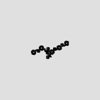 CC(=O)OCN(CCc1cccc(OCc2ccccc2)c1)C(=O)c1cccc(OCc2ccc(OCc3ccccc3)cc2)c1